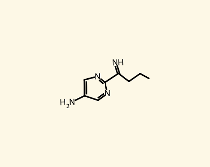 CCCC(=N)c1ncc(N)cn1